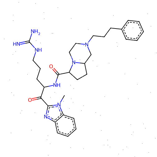 Cn1c(C(=O)C(CCCNC(=N)N)NC(=O)C2CCC3CN(CCCc4ccccc4)CCN32)nc2ccccc21